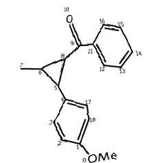 COc1ccc(C2C(C)C2C(=O)c2ccccc2)cc1